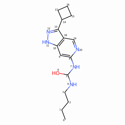 CCCCNC(O)Nc1cc2[nH]nc(C3CCC3)c2cn1